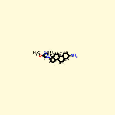 COc1cn(C2=CCC3C4CC=C5C[C@@H](N)CC[C@]5(C)C4CC[C@]23C)cn1